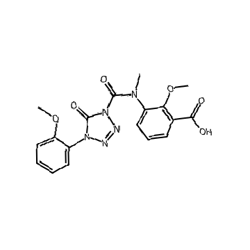 COc1ccccc1-n1nnn(C(=O)N(C)c2cccc(C(=O)O)c2OC)c1=O